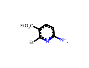 CCOC(=O)c1ccc(N)nc1CC